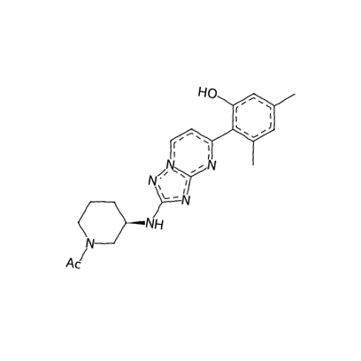 CC(=O)N1CCC[C@@H](Nc2nc3nc(-c4c(C)cc(C)cc4O)ccn3n2)C1